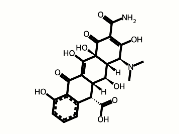 CN(C)[C@@H]1C(O)=C(C(N)=O)C(=O)[C@@]2(O)C(O)=C3C(=O)c4c(O)cccc4[C@@H](C(=O)O)[C@H]3[C@H](O)[C@@H]12